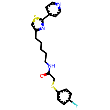 O=C(CSc1ccc(F)cc1)NCCCCCc1csc(-c2ccncc2)n1